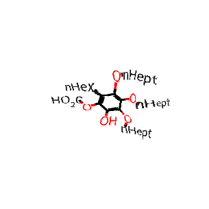 CCCCCCCOc1c(O)c(OC(=O)O)c(CCCCCC)c(OCCCCCCC)c1OCCCCCCC